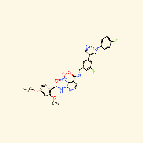 COc1ccc(CNc2nccc(C(=O)NCc3cc(F)cc(/C(C=N)=C/Nc4ccc(F)cc4)c3)c2[N+](=O)[O-])c(OC)c1